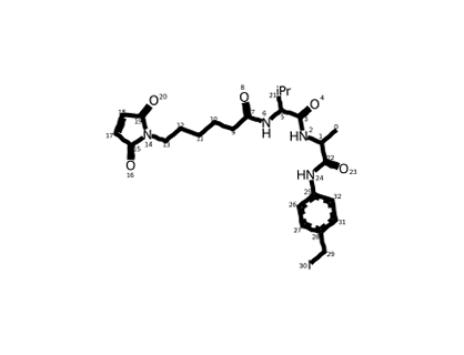 CC(NC(=O)C(NC(=O)CCCCCN1C(=O)C=CC1=O)C(C)C)C(=O)Nc1ccc(CI)cc1